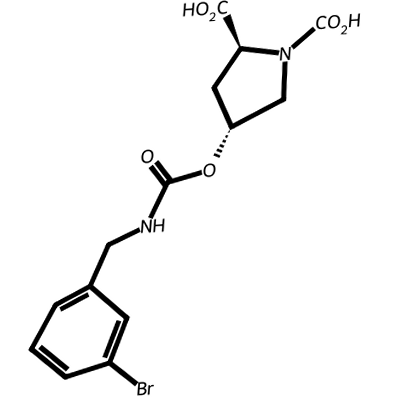 O=C(NCc1cccc(Br)c1)O[C@@H]1C[C@@H](C(=O)O)N(C(=O)O)C1